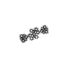 c1ccc(-n2c3ccccc3c3c(-c4ccc(-c5cc6c7c(c5)Oc5cccc8c5B7c5c(cccc5O6)O8)cc4)c4c(c(-c5ccc(-c6cc7c8c(c6)Oc6cccc9c6B8c6c(cccc6O7)O9)cc5)c32)c2ccccc2n4-c2ccccc2)cc1